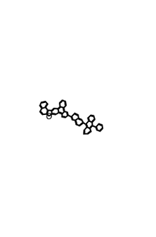 c1ccc(-c2c3ccccc3c(-c3ccc4cc(-c5ccc6c(c5)c5ccccc5c5cc7c(cc65)oc5ccc6ccccc6c57)ccc4c3)c3ccccc23)cc1